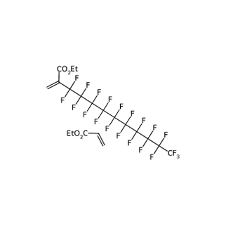 C=C(C(=O)OCC)C(F)(F)C(F)(F)C(F)(F)C(F)(F)C(F)(F)C(F)(F)C(F)(F)C(F)(F)C(F)(F)C(F)(F)F.C=CC(=O)OCC